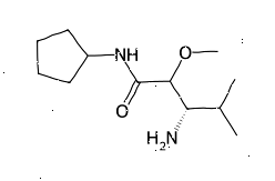 COC(C(=O)NC1CCCC1)[C@@H](N)C(C)C